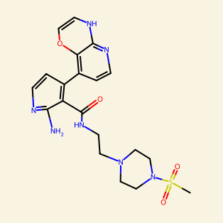 CS(=O)(=O)N1CCN(CCNC(=O)c2c(-c3ccnc4c3OC=CN4)ccnc2N)CC1